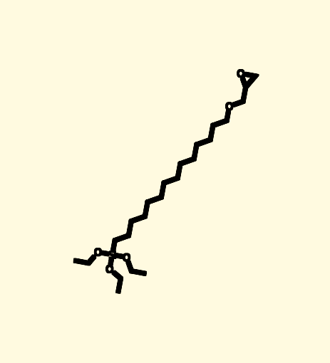 CCO[Si](CCCCCCCCCCCCCCOCC1CO1)(OCC)OCC